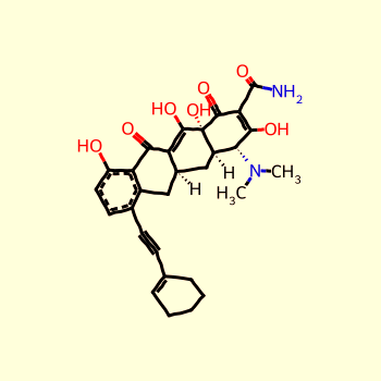 CN(C)[C@H]1C(O)=C(C(N)=O)C(=O)[C@]2(O)C(O)=C3C(=O)c4c(O)ccc(C#CC5=CCCCC5)c4C[C@@H]3C[C@H]12